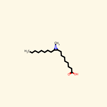 CCCCCCCCC1C(CCCCCCCC(=O)O)N1C